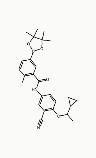 CC(Oc1ccc(NC(=O)c2cc(B3OC(C)(C)C(C)(C)O3)ccc2F)cc1C#N)C1CC1